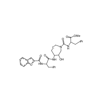 COC(=O)C(CC(C)C)NC(=O)N1CCCC(NC(=O)C(CC(C)C)NC(=O)c2cc3ccccc3o2)C(O)C1